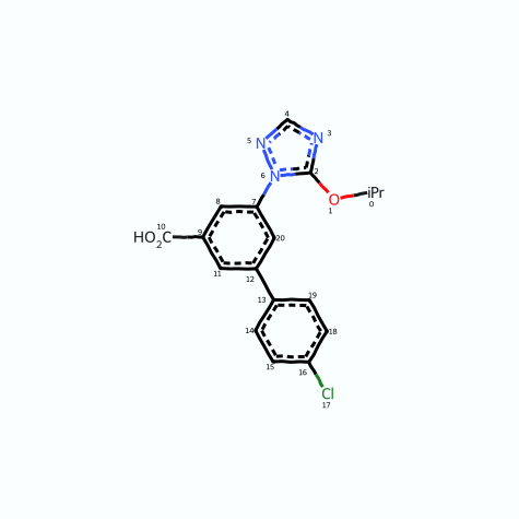 CC(C)Oc1ncnn1-c1cc(C(=O)O)cc(-c2ccc(Cl)cc2)c1